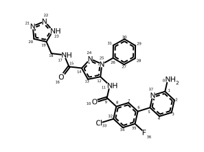 Nc1cccc(-c2cc(C(=O)Nc3cc(C(=O)NCc4cnn[nH]4)nn3-c3ccccc3)c(Cl)cc2F)n1